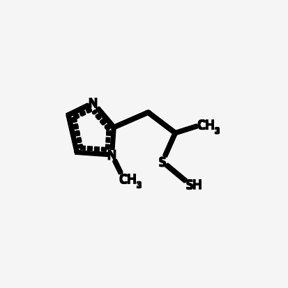 CC(Cc1nccn1C)SS